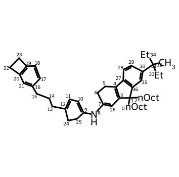 CCCCCCCCC1(CCCCCCCC)C2=C(CCC(NC3=CC=C(CCCc4ccc5c(c4)CC5)CC3)=C2)c2ccc(C(C)(CC)CC)cc21